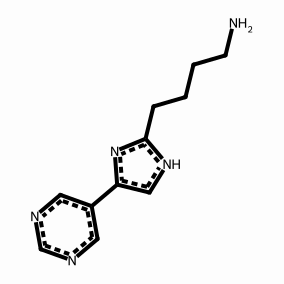 NCCCCc1nc(-c2cncnc2)c[nH]1